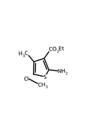 CCOC(=O)c1c(C)csc1N.CCl